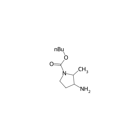 CCCCOC(=O)N1CCC(N)C1C